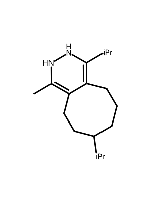 CC1=C2CCC(C(C)C)CCCC2=C(C(C)C)NN1